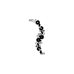 Cc1c(NC(=O)c2nc3c(n2C)CCN(CCO)C3)cccc1-c1cccc(NC(=O)c2nc3c(n2C)CCN(CCC2CCC(C(=O)O)CC2)C3)c1Cl